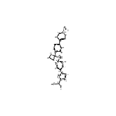 CN1CC=C(c2ccc(C3(Nc4ncc(-c5nnc(C(F)F)o5)cn4)CCC3)cc2)CC1